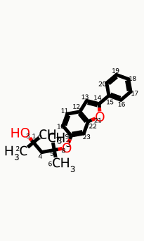 CC(C)(O)CC(C)(C)Oc1ccc2cc(-c3ccccc3)oc2c1